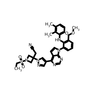 CCS(=O)(=O)N1CC(CC#N)(n2cc(-c3ncnc4c3ccn4-c3cccc(C(=O)OC)c3Nc3cccc(C)c3C)cn2)C1